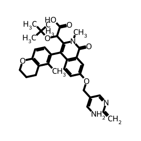 C=C/N=C\C(=C/N)COc1ccc2c(-c3ccc4c(c3C)CCCO4)c(C(OC(C)(C)C)C(=O)O)n(C)c(=O)c2c1